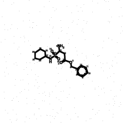 NC(CC(=O)OCc1ccccc1)S(=O)(=O)NC1CCCCC1